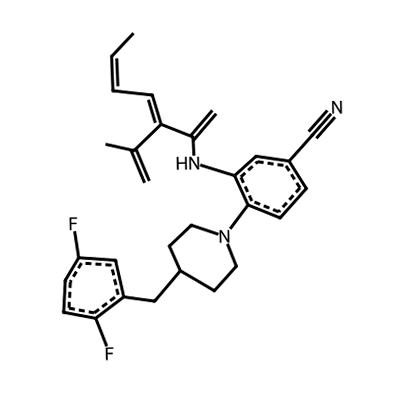 C=C(C)/C(=C\C=C/C)C(=C)Nc1cc(C#N)ccc1N1CCC(Cc2cc(F)ccc2F)CC1